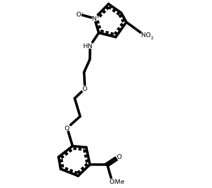 COC(=O)c1cccc(OCCOCCNc2cc([N+](=O)[O-])cc[n+]2[O-])c1